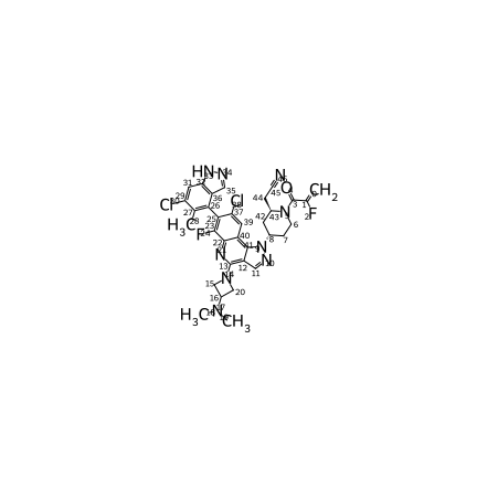 C=C(F)C(=O)N1CC[C@H](n2ncc3c(N4CC(N(C)C)C4)nc4c(F)c(-c5c(C)c(Cl)cc6[nH]ncc56)c(Cl)cc4c32)C[C@H]1CC#N